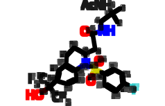 CC(=O)NC(C)(C)CNC(=O)C[C@@H]1CCc2cc(C(O)(C(F)(F)F)C(F)(F)F)ccc2N1S(=O)(=O)c1ccc(F)cc1